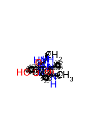 C=CCNCC(=O)N1[C@@H](NC(=O)NCc2ccccc2)CN(Cc2cccc(C(=O)NCCC)c2)C(=O)[C@@H]1Cc1ccc(O)cc1